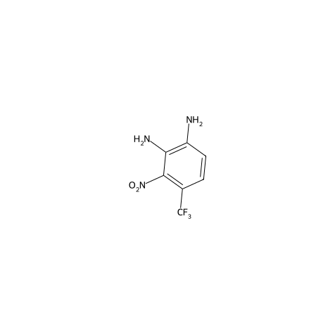 Nc1ccc(C(F)(F)F)c([N+](=O)[O-])c1N